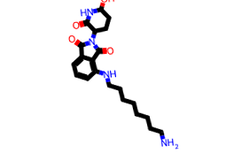 NCCCCCCCCNc1cccc2c1C(=O)N(C1CCC(O)NC1=O)C2=O